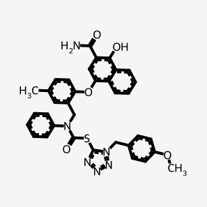 COc1ccc(Cn2nnnc2SC(=O)N(Cc2cc(C)ccc2Oc2cc(C(N)=O)c(O)c3ccccc23)c2ccccc2)cc1